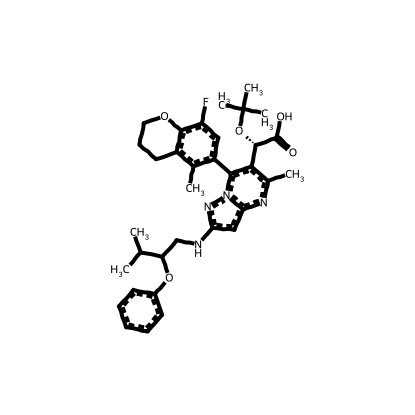 Cc1nc2cc(NCC(Oc3ccccc3)C(C)C)nn2c(-c2cc(F)c3c(c2C)CCCO3)c1[C@H](OC(C)(C)C)C(=O)O